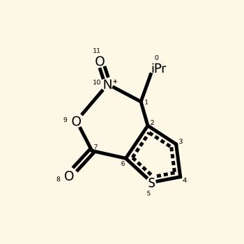 CC(C)C1c2ccsc2C(=O)O[N+]1=O